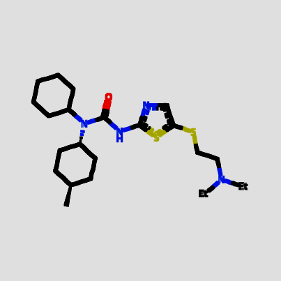 CCN(CC)CCSc1cnc(NC(=O)N(C2CCCCC2)[C@H]2CC[C@H](C)CC2)s1